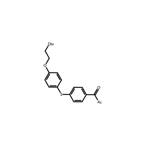 CC(=O)C(=O)c1ccc(Sc2ccc(OCCO)cc2)cc1